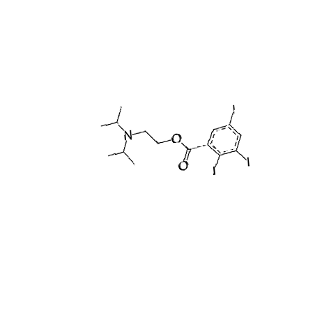 CC(C)N(CCOC(=O)c1cc(I)cc(I)c1I)C(C)C